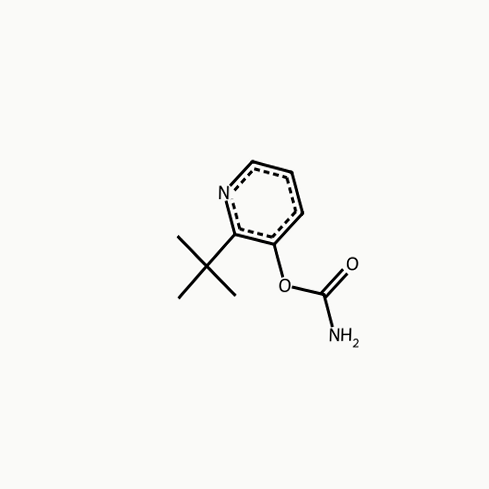 CC(C)(C)c1ncccc1OC(N)=O